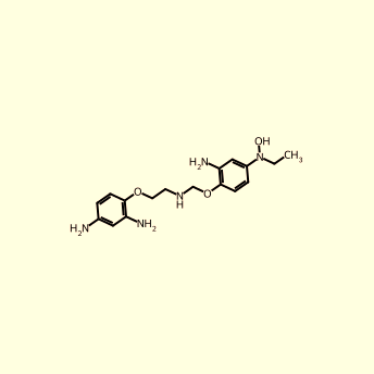 CCN(O)c1ccc(OCNCCOc2ccc(N)cc2N)c(N)c1